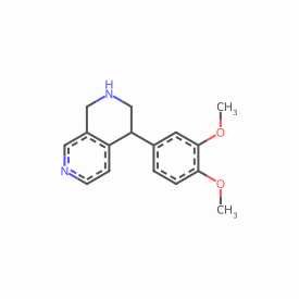 COc1ccc(C2CNCc3cnccc32)cc1OC